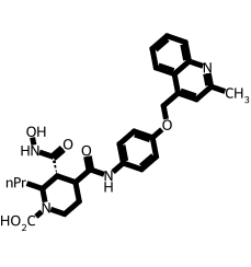 CCCC1[C@H](C(=O)NO)C(C(=O)Nc2ccc(OCc3cc(C)nc4ccccc34)cc2)CCN1C(=O)O